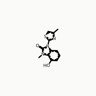 Cc1csc(-n2c(=O)n(C)c3c(O)cccc32)n1